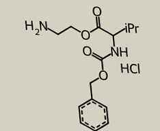 CC(C)C(NC(=O)OCc1ccccc1)C(=O)OCCN.Cl